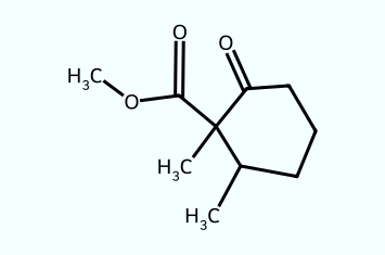 COC(=O)C1(C)C(=O)CCCC1C